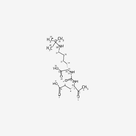 CC(=O)[C@H](CCC(=O)O)NC(=O)N[C@@H](CCCCNC(C)(C)C)C(=O)O